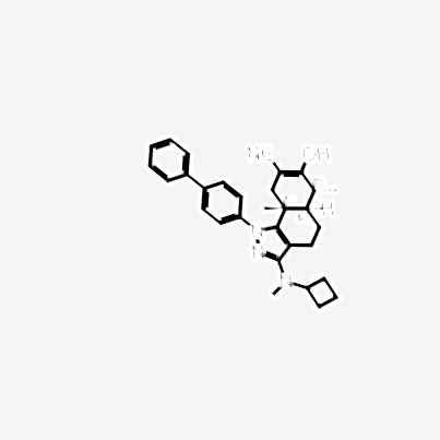 C[C@H]1C(O)=C(C#N)C[C@@]2(C)c3c(c(N(C)C4CCC4)nn3-c3ccc(-c4ccccc4)cc3)CC[C@H]12